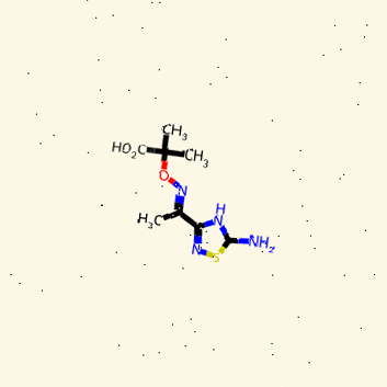 C/C(=N\OC(C)(C)C(=O)O)C1=NSC(N)N1